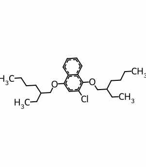 CCCCC(CC)COc1cc(Cl)c(OCC(CC)CCCC)c2ccccc12